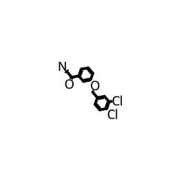 N#CC(=O)c1cccc(OCc2ccc(Cl)c(Cl)c2)c1